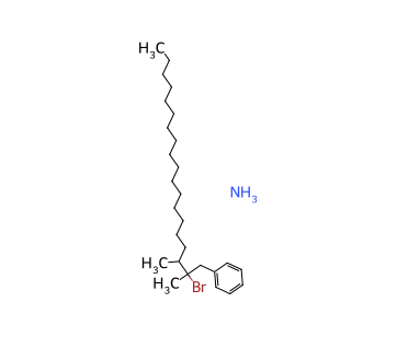 CCCCCCCCCCCCCCCCC(C)C(C)(Br)Cc1ccccc1.N